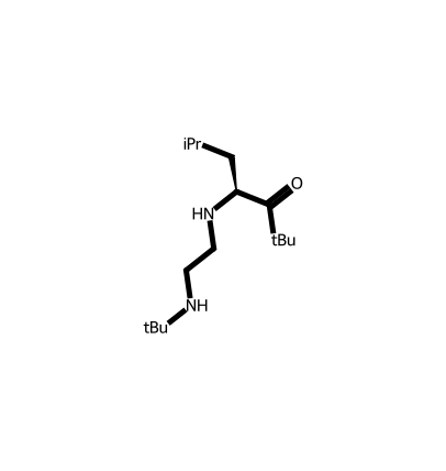 CC(C)C[C@H](NCCNC(C)(C)C)C(=O)C(C)(C)C